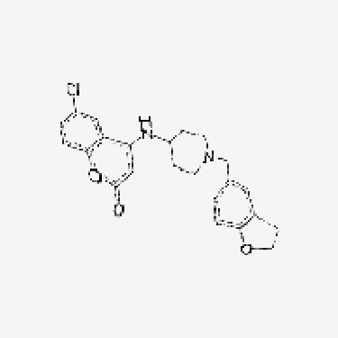 O=c1cc(NC2CCN(Cc3ccc4c(c3)CCO4)CC2)c2cc(Cl)ccc2o1